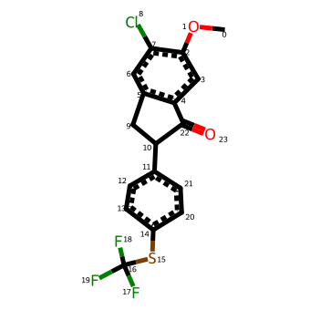 COc1cc2c(cc1Cl)CC(c1ccc(SC(F)(F)F)cc1)C2=O